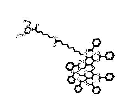 O=C(CCCCCCCCOC1OC(COC(=O)c2ccccc2)C(OC2OC(COC(=O)c3ccccc3)C(OC(=O)c3ccccc3)C(OC(=O)c3ccccc3)C2OC(=O)c2ccccc2)C(OC(=O)c2ccccc2)C1OC(=O)c1ccccc1)NCCCCCC(=O)N1C[C@H](O)C[C@H]1CO